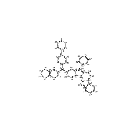 c1ccc(-c2ccc(N(c3ccc4ccccc4c3)c3ccc4c5c6sc7ccccc7c6ccc5n(-c5ccccc5)c4c3)cc2)cc1